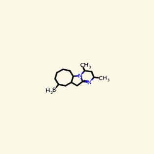 BC1CCCCC2C(CC3=NC(C)CC(C)N32)C1